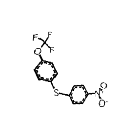 O=[N+]([O-])c1ccc(Sc2ccc(OC(F)(F)F)cc2)cc1